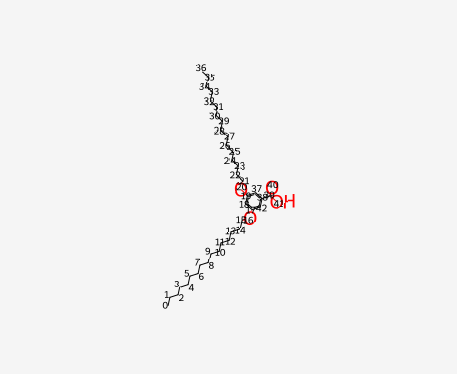 CCCCCCCCCCCCCCCCOc1cc(OCCCCCCCCCCCCCCCC)cc(C(=O)O)c1